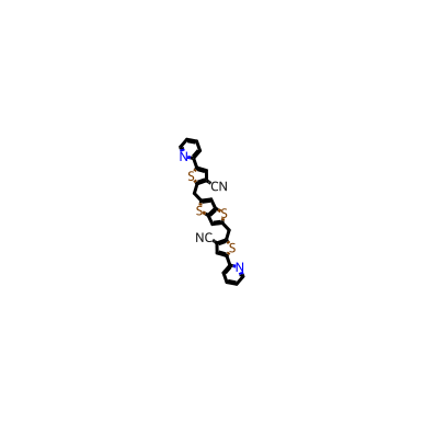 N#Cc1cc(-c2ccccn2)sc1Cc1cc2sc(Cc3sc(-c4ccccn4)cc3C#N)cc2s1